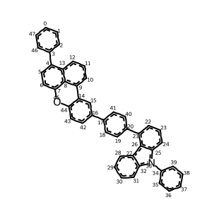 c1ccc(-c2ccc3c4c(cccc24)-c2cc(-c4ccc(-c5cccc6c5c5ccccc5n6-c5ccccc5)cc4)ccc2O3)cc1